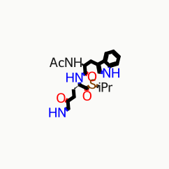 CC(=O)N[C@@H](Cc1c[nH]c2ccccc12)C(=O)N[C@@H](CCC(=O)C=N)C(=O)SC(C)C